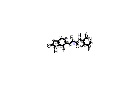 Cc1ncc(F)c(C)c1NC(=O)/C(F)=C/c1ccc2c(c1F)NC(=O)C2